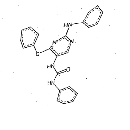 O=C(Nc1ccccc1)Nc1cnc(Nc2ccccc2)nc1Oc1ccccc1